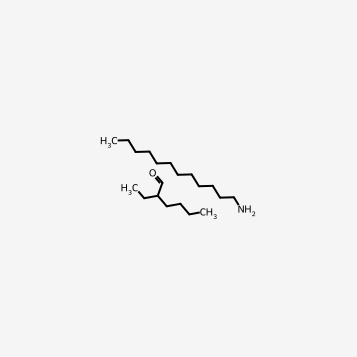 CCCCC(C=O)CC.CCCCCCCCCCCCN